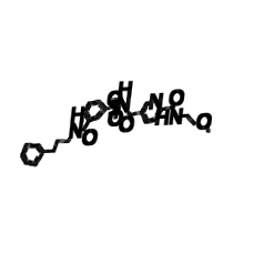 COCCNC(=O)c1ccc(C(=O)NS(=O)(=O)c2cccc(C(=O)NCCCc3ccccc3)c2)cn1